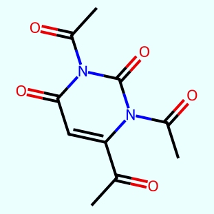 CC(=O)c1cc(=O)n(C(C)=O)c(=O)n1C(C)=O